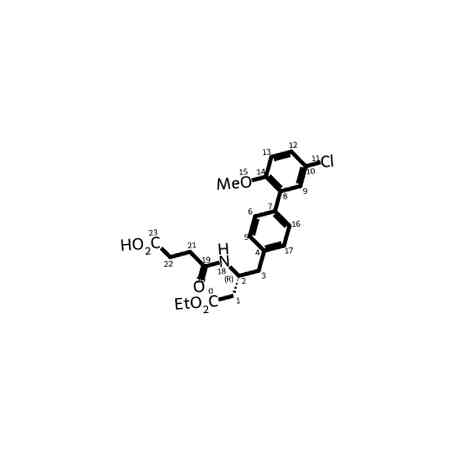 CCOC(=O)C[C@@H](Cc1ccc(-c2cc(Cl)ccc2OC)cc1)NC(=O)CCC(=O)O